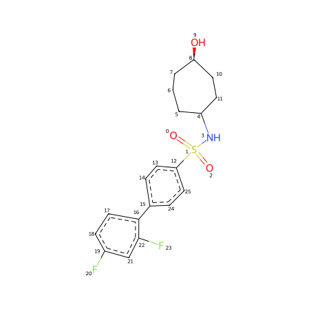 O=S(=O)(NC1CCC[C@@H](O)CC1)c1ccc(-c2ccc(F)cc2F)cc1